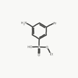 CCOP(=O)(O)c1cc(N)cc(C(C)C)c1